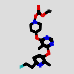 Cc1nc(CCF)ccc1Oc1ncnc(OC2CCN(OC(=O)OC(C)C)CC2)c1C